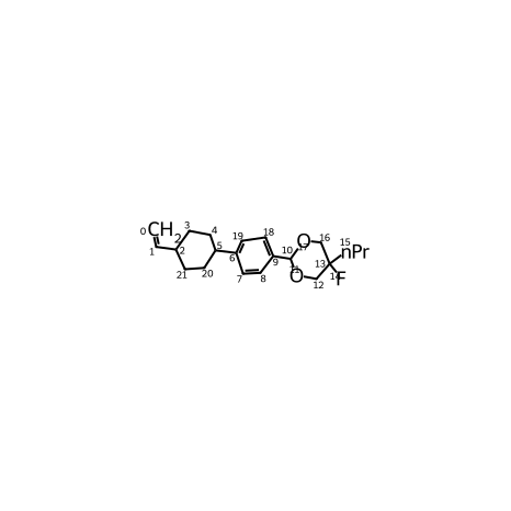 C=CC1CCC(c2ccc(C3OCC(F)(CCC)CO3)cc2)CC1